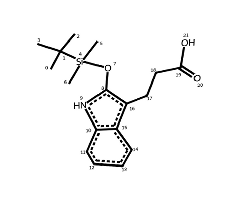 CC(C)(C)[Si](C)(C)Oc1[nH]c2ccccc2c1CCC(=O)O